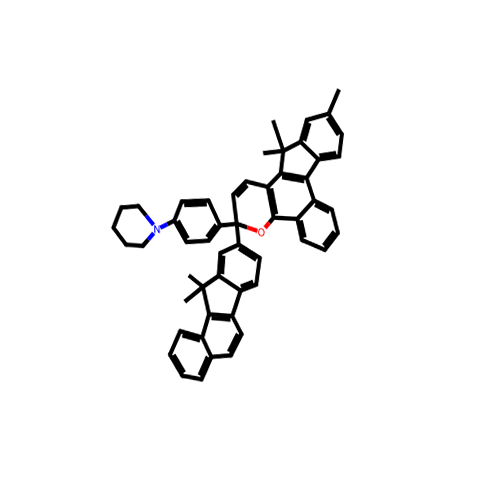 Cc1ccc2c(c1)C(C)(C)c1c3c(c4ccccc4c1-2)OC(c1ccc(N2CCCCC2)cc1)(c1ccc2c(c1)C(C)(C)c1c-2ccc2ccccc12)C=C3